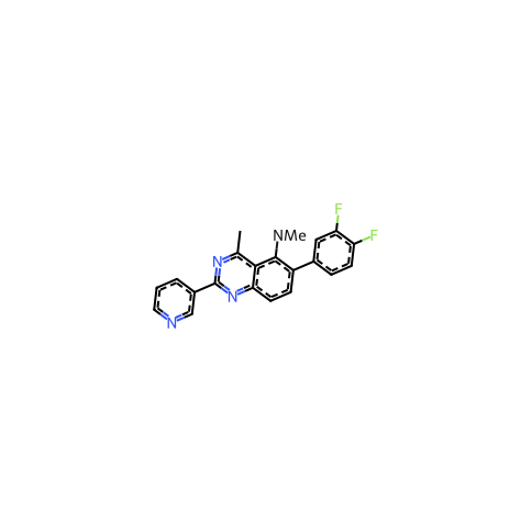 CNc1c(-c2ccc(F)c(F)c2)ccc2nc(-c3cccnc3)nc(C)c12